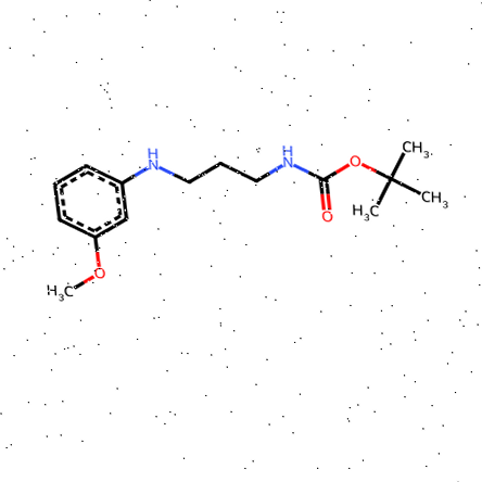 COc1cccc(NCCCNC(=O)OC(C)(C)C)c1